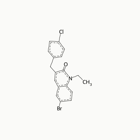 CCn1c(=O)c(Cc2ccc(Cl)cc2)cc2cc(Br)ccc21